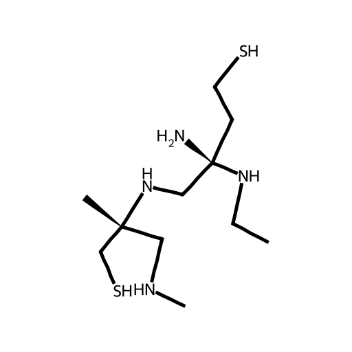 CCN[C@@](N)(CCS)CN[C@@](C)(CS)CNC